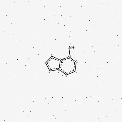 [NH]c1cccn2cccc12